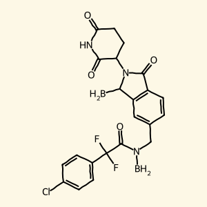 BC1c2cc(CN(B)C(=O)C(F)(F)c3ccc(Cl)cc3)ccc2C(=O)N1C1CCC(=O)NC1=O